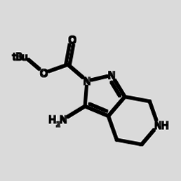 CC(C)(C)OC(=O)n1nc2c(c1N)CCNC2